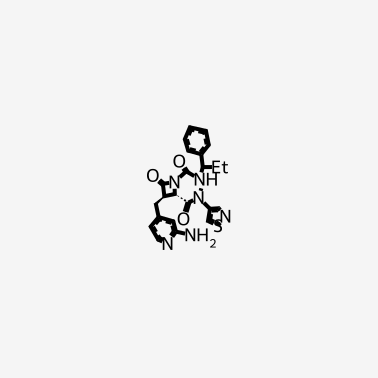 CCC(NC(=O)N1C(=O)[C@H](Cc2ccnc(N)c2)[C@H]1C(=O)N(C)c1cnsc1)c1ccccc1